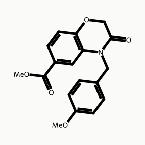 COC(=O)c1ccc2c(c1)N(Cc1ccc(OC)cc1)C(=O)CO2